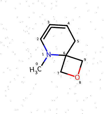 CN1C=C=CCC12COC2